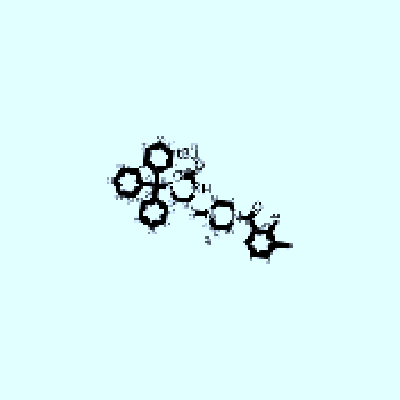 Cc1cccc(C(=O)N2CCN(C[C@H](CSC(c3ccccc3)(c3ccccc3)c3ccccc3)NC(=O)OC(C)(C)C)[C@@H](C)C2)c1C